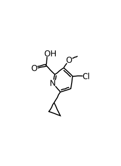 COc1c(Cl)cc(C2CC2)nc1C(=O)O